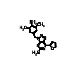 Cc1cc(Cn2nnc3c(-c4ccco4)nc(N)nc32)cc(C)c1N